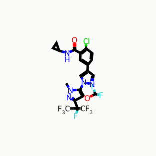 Cn1nc(C(F)(C(F)(F)F)C(F)(F)F)c(OC(F)F)c1-n1cc(-c2ccc(Cl)c(C(=O)NC3CC3)c2)cn1